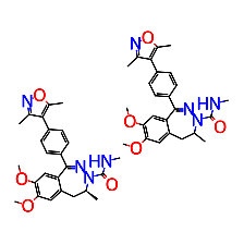 CNC(=O)N1N=C(c2ccc(-c3c(C)noc3C)cc2)c2cc(OC)c(OC)cc2CC1C.CNC(=O)N1N=C(c2ccc(-c3c(C)noc3C)cc2)c2cc(OC)c(OC)cc2C[C@@H]1C